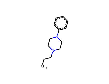 CCCN1CCN(c2cc[c]cc2)CC1